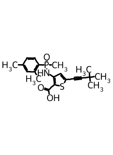 Cc1ccc(P(C)(=O)Nc2cc(C#CC(C)(C)C)sc2C(=O)O)c(C)c1